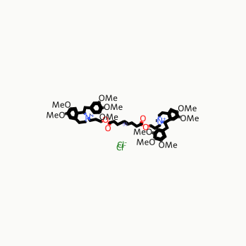 COc1cc2c(cc1OC)C(Cc1cc(OC)c(OC)c(OC)c1)[N+](C)(CCCOC(=O)CC/C=C/CCC(=O)OCCC[N+]1(C)CCc3cc(OC)c(OC)cc3C1Cc1cc(OC)c(OC)c(OC)c1)CC2.[Cl-].[Cl-]